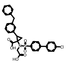 O=C(O)CN(C1(C(=O)O)CC1c1cccc(Cc2ccccc2)c1)S(=O)(=O)c1ccc(-c2ccc(Cl)cc2)cc1